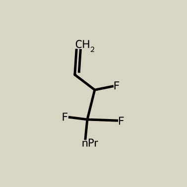 C=CC(F)C(F)(F)CCC